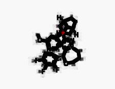 COc1cc(N2C[C@H]3CC[C@H](C2)C3Nc2nc3n(n2)CCCO[C@@H]3c2ccc(F)c(F)c2F)ccn1